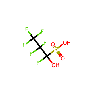 O=S(=O)(O)C(O)(F)C(F)(F)C(F)(F)F